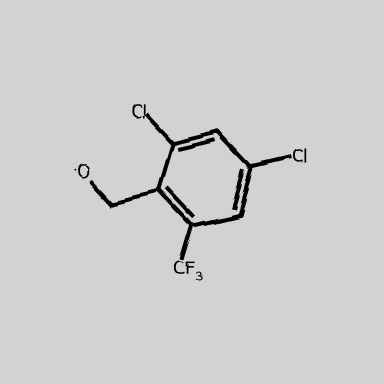 [O]Cc1c(Cl)cc(Cl)cc1C(F)(F)F